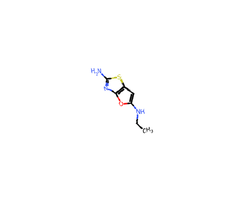 CCNc1cc2sc(N)nc2o1